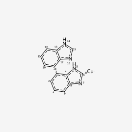 [Cu].c1ccc2[nH]cnc2c1.c1ccc2[nH]cnc2c1